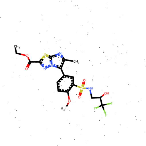 CCOC(=O)c1nn2c(-c3ccc(OC)c(S(=O)(=O)NCC(O)C(F)(F)F)c3)c(C)nc2s1